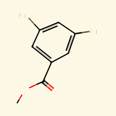 COC(=O)c1cc(Br)cc(Br)c1